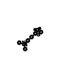 c1ccc(-c2cc(-c3ccccc3)nc(-c3ccc(-c4ccc(-c5ccc6c(c5)Oc5ccccc5C65c6ccccc6-c6ccccc65)cc4)cc3)n2)cc1